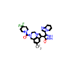 O=C(N1CCC(F)(F)CC1)N1CCn2cc(-c3c(-c4cnc5ccccn45)[nH][nH]c3=O)c3cc(C(F)(F)F)cc(c32)C1